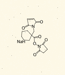 O=C1C=CC(=O)N1CC1(C(=O)ON2C(=O)CCC2=O)CCCCC1.[NaH]